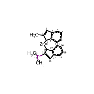 CC1=Cc2ccccc2[CH]1[Zr][CH]1C(P(C)C)=Cc2ccccc21